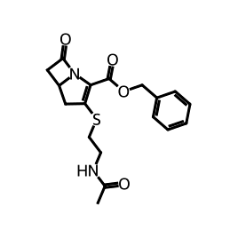 CC(=O)NCCSC1=C(C(=O)OCc2ccccc2)N2C(=O)CC2C1